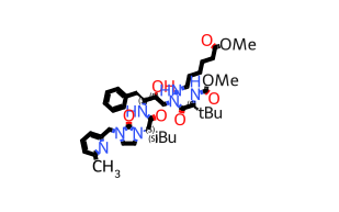 CC[C@H](C)[C@@H](C(=O)N[C@@H](Cc1ccccc1)[C@@H](O)CN(NCCCCCC(=O)OC)C(=O)[C@@H](NC(=O)OC)C(C)(C)C)N1CCN(Cc2cccc(C)n2)C1=O